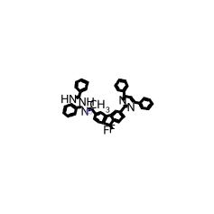 C/C(=N\C(NC(=N)c1ccccc1)c1ccccc1)c1ccc2c(c1)-c1cc(-c3nc(-c4ccccc4)cc(-c4ccccc4)n3)ccc1C2(F)F